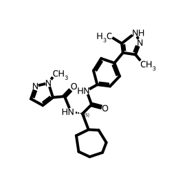 Cc1n[nH]c(C)c1-c1ccc(NC(=O)[C@@H](NC(=O)c2ccnn2C)C2CCCCCC2)cc1